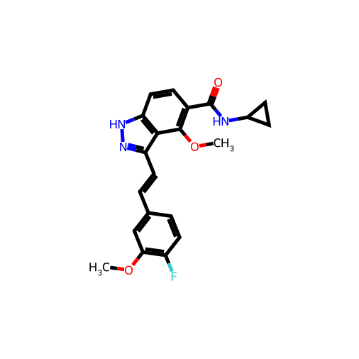 COc1cc(C=Cc2n[nH]c3ccc(C(=O)NC4CC4)c(OC)c23)ccc1F